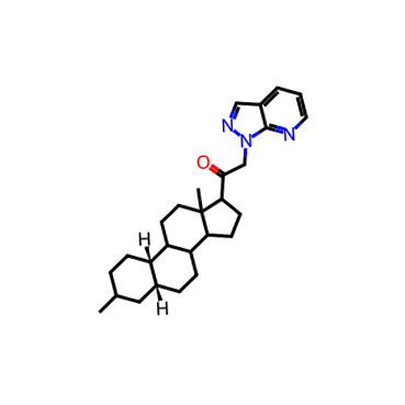 CC1CC[C@@H]2C3CCC4(C)C(C(=O)Cn5ncc6cccnc65)CCC4C3CC[C@@H]2C1